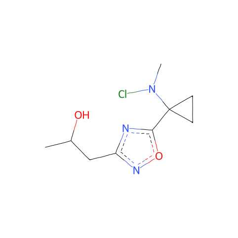 CC(O)Cc1noc(C2(N(C)Cl)CC2)n1